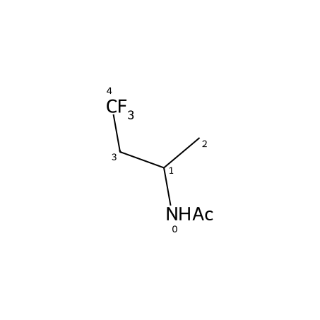 CC(=O)NC(C)CC(F)(F)F